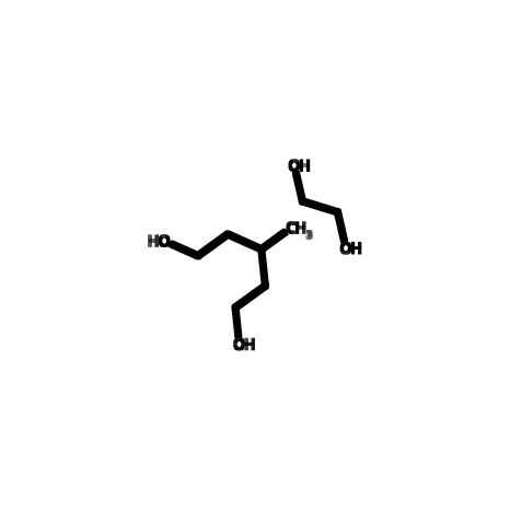 CC(CCO)CCO.OCCO